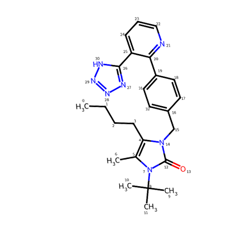 CCCCc1c(C)n(C(C)(C)C)c(=O)n1Cc1ccc(-c2ncccc2-c2nnn[nH]2)cc1